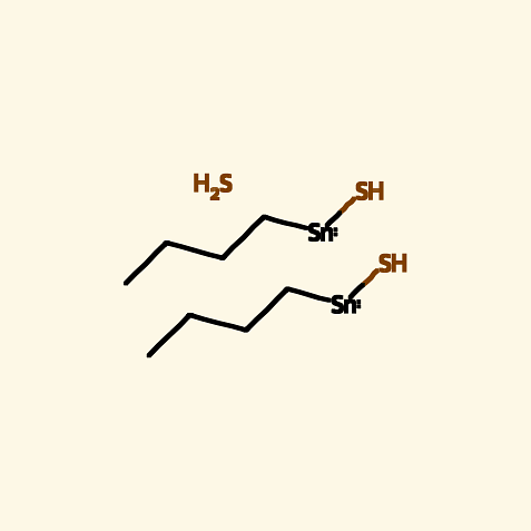 CCC[CH2][Sn][SH].CCC[CH2][Sn][SH].S